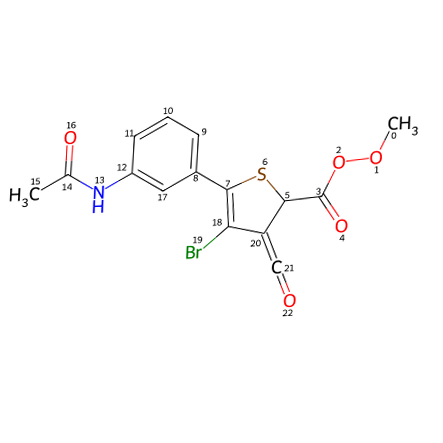 COOC(=O)C1SC(c2cccc(NC(C)=O)c2)=C(Br)C1=C=O